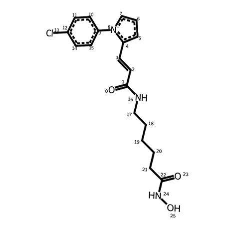 O=C(C=Cc1cccn1-c1ccc(Cl)cc1)NCCCCCC(=O)NO